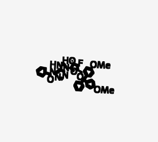 COc1ccc(C(OC[C@H]2O[C@@H](n3cnc4c(NC(=O)c5ccccc5)ncnc43)[C@H](O)[C@H]2F)(c2ccccc2)c2ccc(OC)cc2)cc1